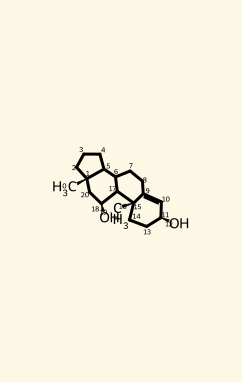 C[C@@]12CCCC1C1CCC3=C[C@@H](O)CC[C@]3(C)C1[C@@H](O)C2